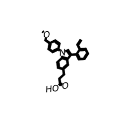 C=Cc1ccccc1-c1cn(-c2ccc(COC)cc2)c2ccc(CCC(=O)O)cc12